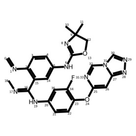 C=Nc1ccc(NC2=NC(C)(C)CO2)cc1/C(=N\C)Nc1ccc(Oc2cc3nncn3cn2)c(F)c1